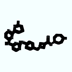 Cc1cccc(-c2nccc(Nc3ccnc(Nc4ccc(CN5CC(C(=O)O[C@@H]6CCCC(C)CC6)C5)cc4)n3)n2)n1